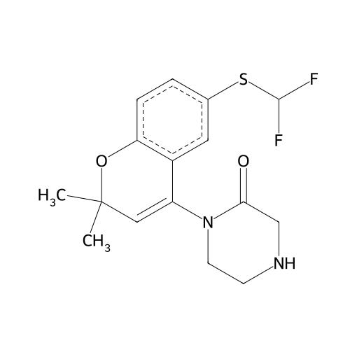 CC1(C)C=C(N2CCNCC2=O)c2cc(SC(F)F)ccc2O1